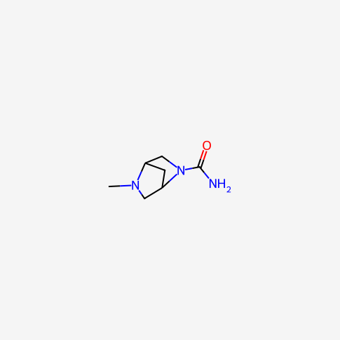 CN1CC2CC1CN2C(N)=O